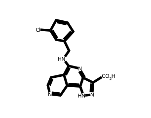 O=C(O)c1n[nH]c2c1nc(NCc1cccc(Cl)c1)c1ccncc12